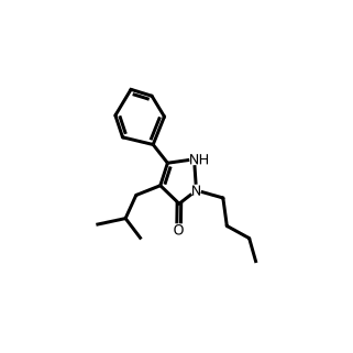 CCCCn1[nH]c(-c2ccccc2)c(CC(C)C)c1=O